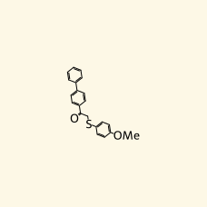 COc1ccc(SCC(=O)c2ccc(-c3ccccc3)cc2)cc1